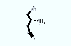 N#CC[C@@H](N)CO